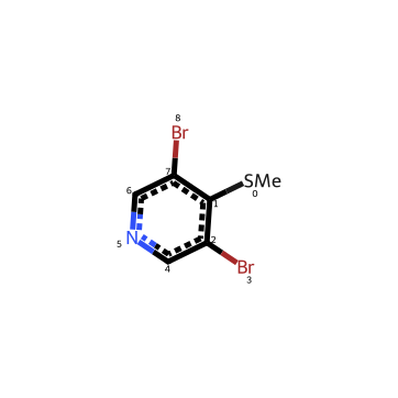 CSc1c(Br)cncc1Br